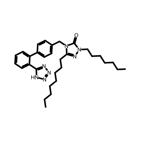 CCCCCCCCc1nn(CCCCCCC)c(=O)n1Cc1ccc(-c2ccccc2-c2nnn[nH]2)cc1